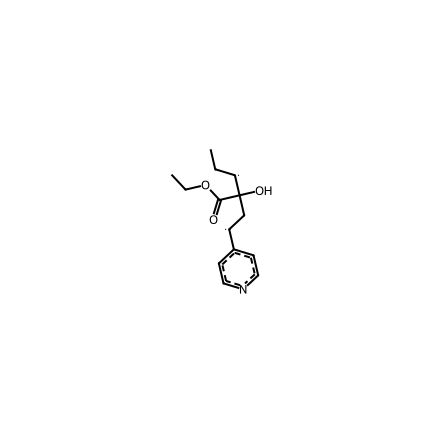 CC[CH]C(O)(C[CH]c1ccncc1)C(=O)OCC